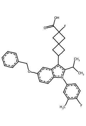 Cc1cc(-n2c(C(C)C)c(C3CC4(C3)CC(F)(C(=O)O)C4)c3cc(OCc4ccccc4)ccc32)ccc1F